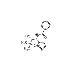 CC(C)(C)C(O)C(NC(=O)c1ccccc1)n1ccnc1